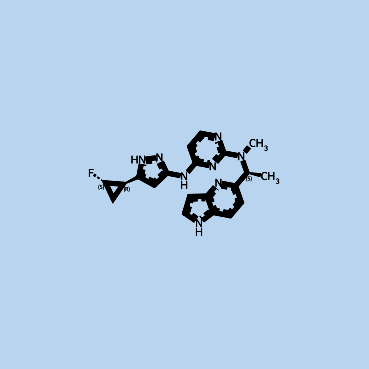 C[C@@H](c1ccc2[nH]ccc2n1)N(C)c1nccc(Nc2cc([C@H]3C[C@@H]3F)[nH]n2)n1